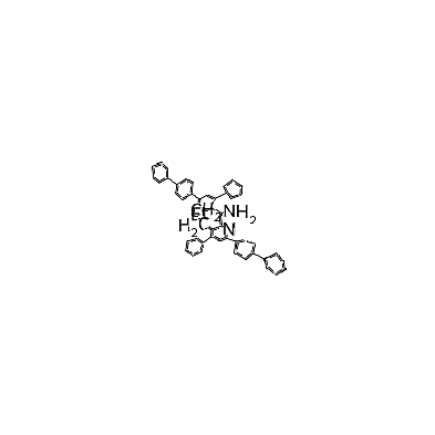 C=C(/C=C(/c1ccccc1)C(CC)/C(N)=c1/nc(-c2ccc(-c3ccccc3)cc2)cc(-c2ccccc2)c1=C)c1ccc(-c2ccccc2)cc1